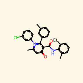 CCc1cccc(C)c1NC(=O)c1c(-c2cccc(C)c2)n(-c2cccc(Cl)c2)c(C)cc1=O